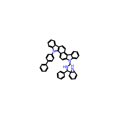 C1=CC2NC2(C(NCn2c3ccccc3c3c4ccc5c6ccccc6n(-c6ccc(-c7ccccc7)cc6)c5c4ccc32)c2ccccc2)C=C1